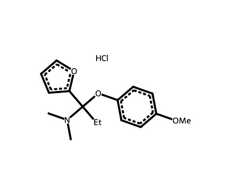 CCC(Oc1ccc(OC)cc1)(c1ccco1)N(C)C.Cl